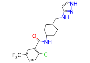 O=C(NC1CCC(CNc2cc[nH]n2)CC1)c1cc(C(F)(F)F)ccc1Cl